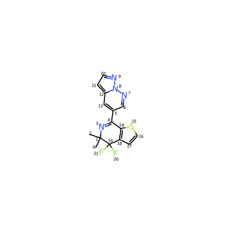 CC1(C)N=C(c2cnn3nccc3c2)c2sccc2C1(F)F